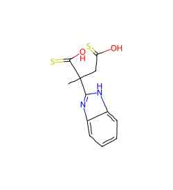 CC(CC(O)=S)(C(O)=S)c1nc2ccccc2[nH]1